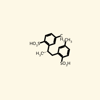 Cc1ccc(S(=O)(=O)O)c(C[C@H](C)c2cc(C)ccc2S(=O)(=O)O)c1